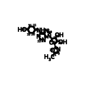 Cc1cnc([C@H]2O[C@@H](n3cnc4c(NC5CCC(O)CC5)ncnc43)[C@H](O)[C@@H]2O)o1